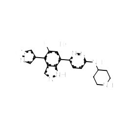 Cl.Fc1cc(-c2ccc(NC3CCNCC3)nn2)c2[nH]ncc2c1-c1cn[nH]c1